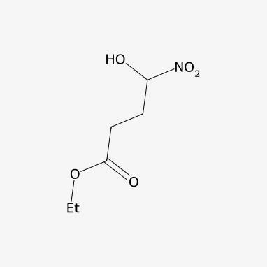 CCOC(=O)CCC(O)[N+](=O)[O-]